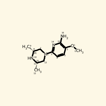 COc1ccc(N2C[C@@H](C)N[C@@H](C)C2)nc1N